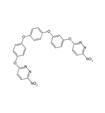 O=[N+]([O-])c1ccc(Oc2ccc(Oc3ccc(Oc4cccc(Oc5ccc([N+](=O)[O-])nn5)c4)cc3)cc2)nn1